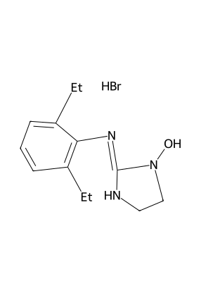 Br.CCc1cccc(CC)c1/N=C1\NCCN1O